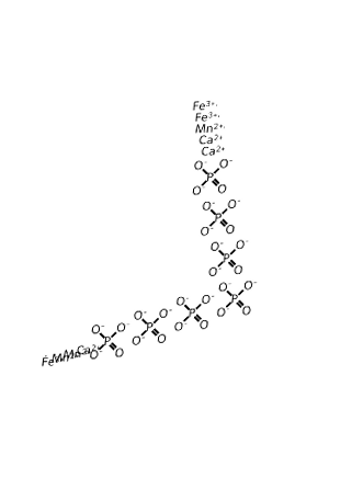 O=P([O-])([O-])[O-].O=P([O-])([O-])[O-].O=P([O-])([O-])[O-].O=P([O-])([O-])[O-].O=P([O-])([O-])[O-].O=P([O-])([O-])[O-].O=P([O-])([O-])[O-].[Ca+2].[Ca+2].[Ca+2].[Fe+3].[Fe+3].[Fe+3].[Mn+2].[Mn+2].[Mn+2]